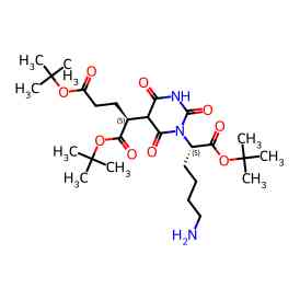 CC(C)(C)OC(=O)CC[C@H](C(=O)OC(C)(C)C)C1C(=O)NC(=O)N([C@@H](CCCCN)C(=O)OC(C)(C)C)C1=O